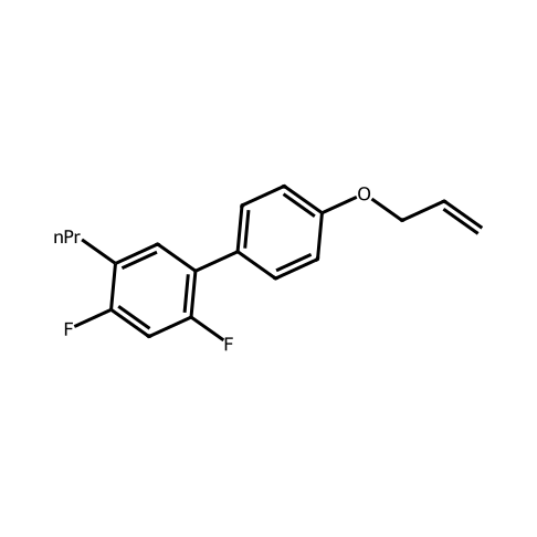 [CH2]CCc1cc(-c2ccc(OCC=C)cc2)c(F)cc1F